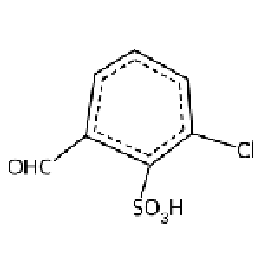 O=Cc1cccc(Cl)c1S(=O)(=O)O